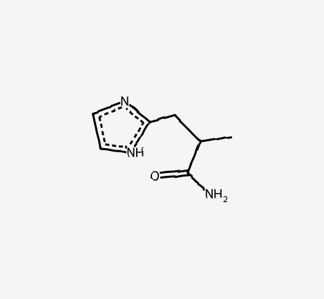 CC(Cc1ncc[nH]1)C(N)=O